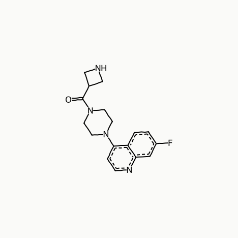 O=C(C1CNC1)N1CCN(c2ccnc3cc(F)ccc23)CC1